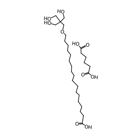 O=C(O)CCCCC(=O)O.O=C(O)CCCCCCCCCCCCCCCCCOCC(CO)(CO)CO